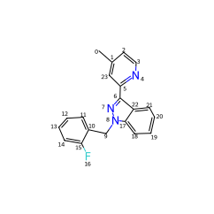 Cc1ccnc(-c2nn(Cc3ccccc3F)c3ccccc23)c1